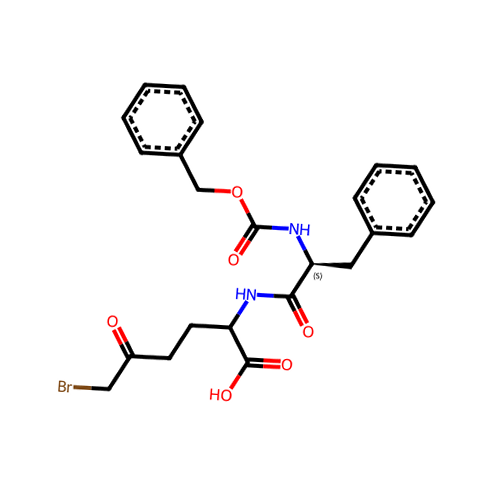 O=C(CBr)CCC(NC(=O)[C@H](Cc1ccccc1)NC(=O)OCc1ccccc1)C(=O)O